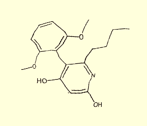 CCCCc1nc(O)[c]c(O)c1-c1c(OC)cccc1OC